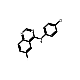 Clc1ccc(Nc2ncnc3ccc(I)cc23)cc1